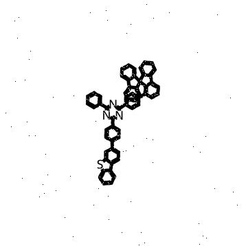 c1ccc(-c2nc(-c3ccc(-c4ccc5c(c4)sc4ccccc45)cc3)nc(-c3ccc(-c4cccc5c4C4(c6ccccc6-c6ccccc64)c4ccccc4-5)cc3)n2)cc1